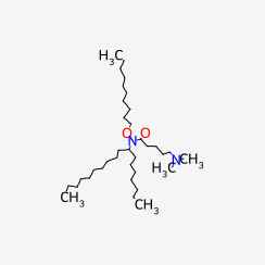 CCCCCCCCCCON(C(=O)CCCCN(C)C)C(CCCCCCC)CCCCCCCCCC